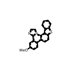 COc1ccc2c(c1)c1nccn1c1c2ccc2sc3ccccc3c21